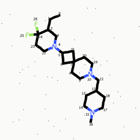 CCC1CN(C2CC3(CCN(CC4CCN(C)CC4)CC3)C2)CCC1(F)F